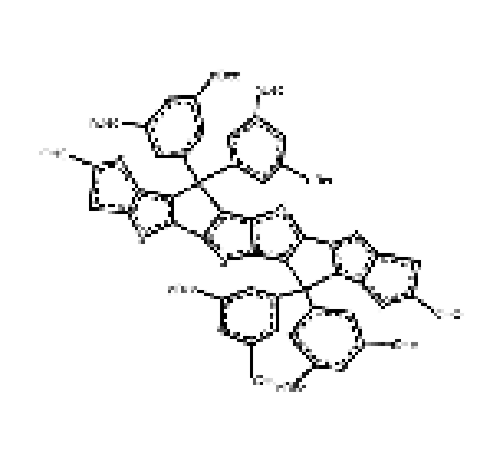 CCCCCCCCCCc1cc(CCCCCCCCCC)cc(C2(c3cc(CCCCCCCCCC)cc(CCCCCCCCCC)c3)c3c(sc4cc(C=O)sc34)-c3sc4c5c(sc4c32)-c2sc3cc(C=O)sc3c2C5(c2cc(CCCCCCCCCC)cc(CCCCCCCCCC)c2)c2cc(CCCCCCCCCC)cc(CCCCCCCCCC)c2)c1